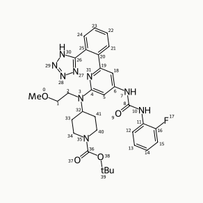 COCCN(c1cc(NC(=O)Nc2ccccc2F)cc(-c2ccccc2-c2nnn[nH]2)n1)C1CCN(C(=O)OC(C)(C)C)CC1